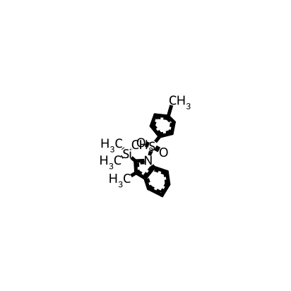 Cc1ccc(S(=O)(=O)n2c([Si](C)(C)C)c(C)c3ccccc32)cc1